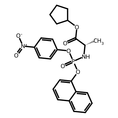 C[C@H](NP(=O)(Oc1ccc([N+](=O)[O-])cc1)Oc1cccc2ccccc12)C(=O)OC1CCCC1